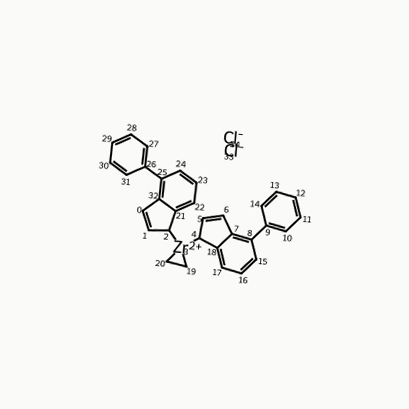 C1=C[CH]([Zr+2]2([CH]3C=Cc4c(-c5ccccc5)cccc43)[CH2][CH2]2)c2cccc(-c3ccccc3)c21.[Cl-].[Cl-]